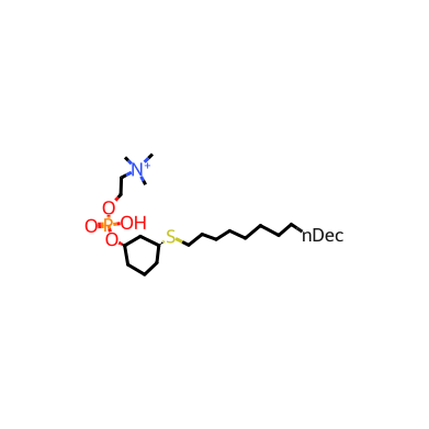 CCCCCCCCCCCCCCCCCCS[C@@H]1CCC[C@@H](OP(=O)(O)OCC[N+](C)(C)C)C1